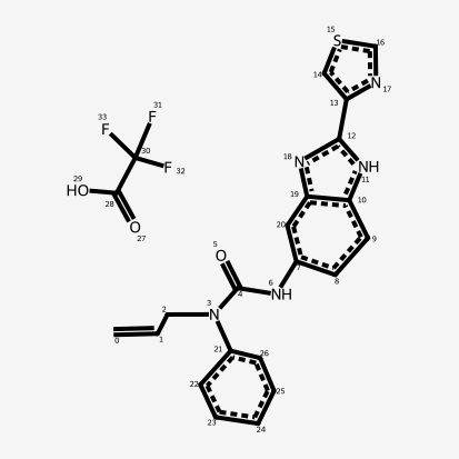 C=CCN(C(=O)Nc1ccc2[nH]c(-c3cscn3)nc2c1)c1ccccc1.O=C(O)C(F)(F)F